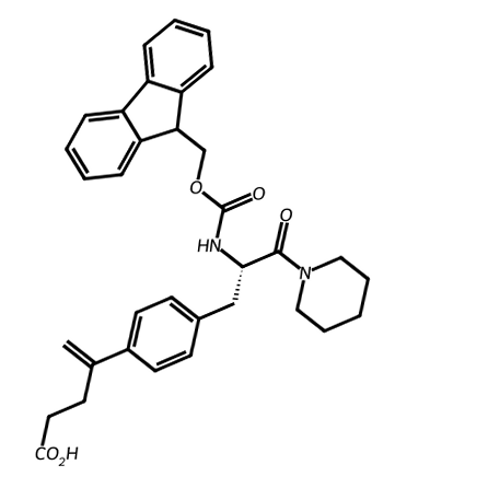 C=C(CCC(=O)O)c1ccc(C[C@H](NC(=O)OCC2c3ccccc3-c3ccccc32)C(=O)N2CCCCC2)cc1